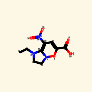 CCN1CCN2OC(C(=O)O)=CC([N+](=O)[O-])=C12